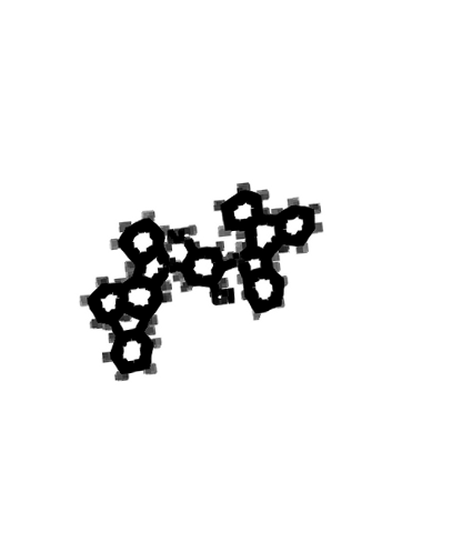 N#Cc1cc(-n2c3ccccc3c3c4ccccc4c4ccccc4c32)c(C#N)cc1-n1c2ccccc2c2c3cccc4c3c(cc21)-c1ccccc1-4